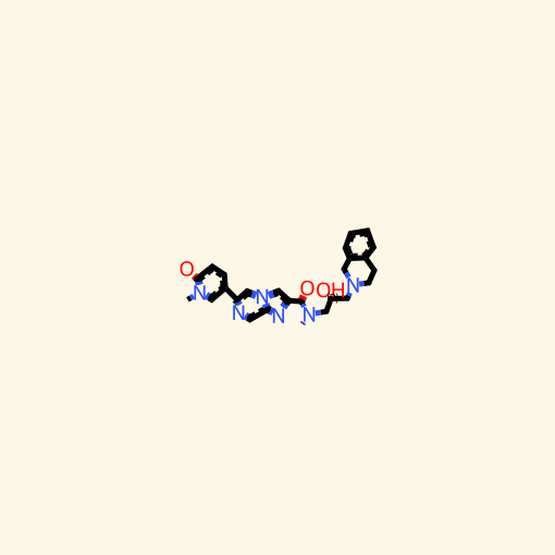 CN(C[C@H](O)CN1CCc2ccccc2C1)C(=O)c1cn2cc(-c3ccc(=O)n(C)c3)ncc2n1